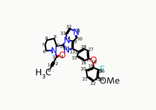 CC#CC(=O)N1CCCC[C@H]1c1nc(-c2ccc(Oc3cccc(OC)c3F)cc2)c2cnccn12